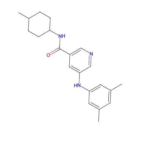 Cc1cc(C)cc(Nc2cncc(C(=O)NC3CCC(C)CC3)c2)c1